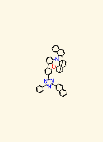 C1=CC2c3cccc(N4c5c(ccc6ccccc56)[C@]56C=CC7CC5C=CC7C46)c3OC2C=C1c1nc(-c2ccccc2)nc(-c2ccc3ccccc3c2)n1